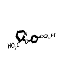 O=C(O)c1ccc(Oc2ncccc2C(=O)O)cc1